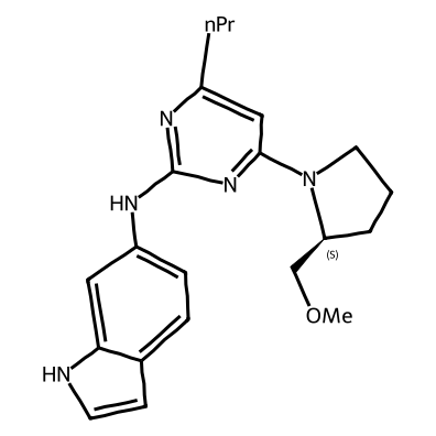 CCCc1cc(N2CCC[C@H]2COC)nc(Nc2ccc3cc[nH]c3c2)n1